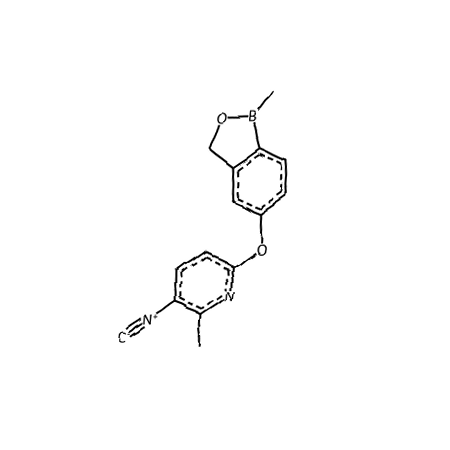 [C-]#[N+]c1ccc(Oc2ccc3c(c2)COB3C)nc1C